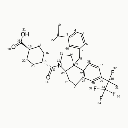 CC(C)c1cccc(CC23CCN(C(=O)[C@H]4CC[C@H](C(=O)O)CC4)C2CCc2cc(C(C)(F)C(F)(F)F)ccc23)c1